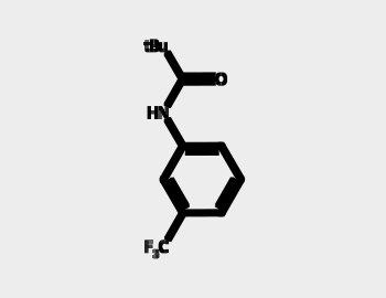 CC(C)(C)C(=O)Nc1cccc(C(F)(F)F)c1